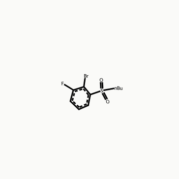 CCCCS(=O)(=O)c1cccc(F)c1Br